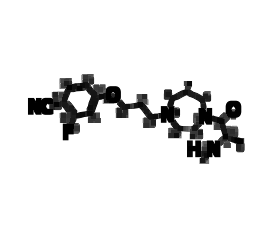 C[C@@H](N)C(=O)N1CCCN(CCCOc2ccc(C#N)c(F)c2)CC1